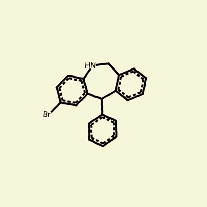 Brc1ccc2c(c1)C(c1ccccc1)c1ccccc1CN2